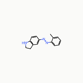 Cc1ccccc1N=Nc1ccc2c(c1)CCN2